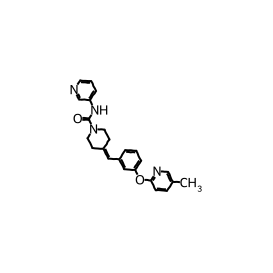 Cc1ccc(Oc2cccc(C=C3CCN(C(=O)Nc4cccnc4)CC3)c2)nc1